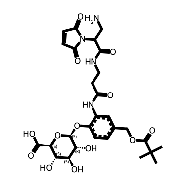 CC(C)(C)C(=O)OCc1ccc(O[C@@H]2O[C@H](C(=O)O)[C@@H](O)[C@H](O)[C@H]2O)c(NC(=O)CCNC(=O)C(CN)N2C(=O)C=CC2=O)c1